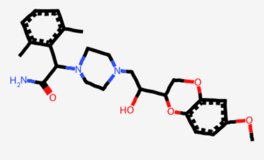 COc1ccc2c(c1)OCC(C(O)CN1CCN(C(C(N)=O)c3c(C)cccc3C)CC1)O2